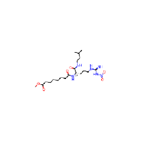 COC(=O)CCCCCCC(=O)N[C@@H](CCCNC(=N)N[N+](=O)[O-])C(=O)NCCC(C)C